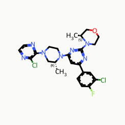 C[C@@H]1CN(c2nccnc2Cl)CCN1c1cc(-c2ccc(F)c(Cl)c2)nc(N2CCOC[C@@H]2C)n1